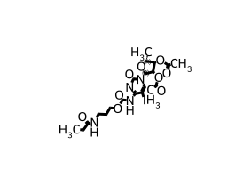 CCC(=O)NCCCOC(=O)Nc1nc(=O)n([C@@H]2O[C@H](C)C(OC(C)=O)C2OC(C)=O)cc1I